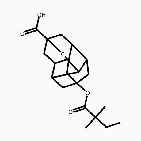 CCC(C)(C)C(=O)OC12CC3C4CC5(C(=O)O)CC3C(C1)C(C5)C4C2